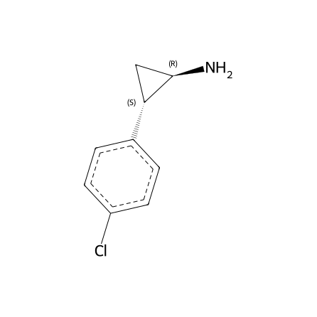 N[C@@H]1C[C@H]1c1ccc(Cl)cc1